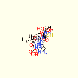 CC(C)C[C@H](NC(=O)[C@H](CCC(=O)O)NC(=O)CN)C(=O)N[C@H](C(=O)N[C@@H](Cc1c[nH]c2ccccc12)C(=O)N[C@@H](CS)C(=O)N[C@H](C(=O)O)[C@@H](C)O)C(C)C